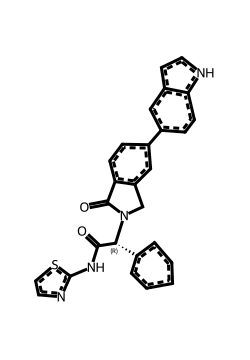 O=C(Nc1nccs1)[C@@H](c1ccccc1)N1Cc2cc(-c3ccc4[nH]ccc4c3)ccc2C1=O